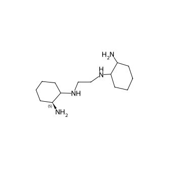 NC1CCCCC1NCCNC1CCCC[C@@H]1N